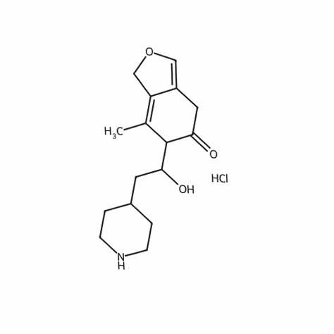 CC1=C2COC=C2CC(=O)C1C(O)CC1CCNCC1.Cl